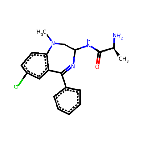 C[C@H](N)C(=O)NC1CN(C)c2ccc(Cl)cc2C(c2ccccc2)=N1